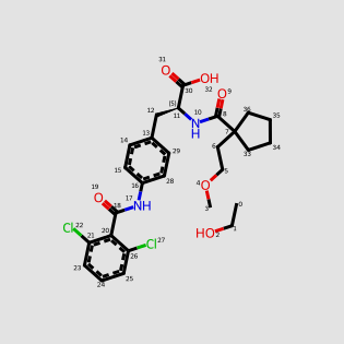 CCO.COCCC1(C(=O)N[C@@H](Cc2ccc(NC(=O)c3c(Cl)cccc3Cl)cc2)C(=O)O)CCCC1